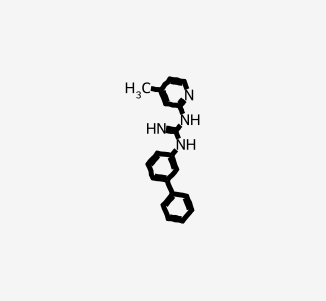 Cc1ccnc(NC(=N)Nc2cccc(-c3ccccc3)c2)c1